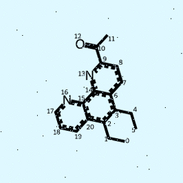 CCc1c(CC)c2ccc(C(C)=O)nc2c2ncccc12